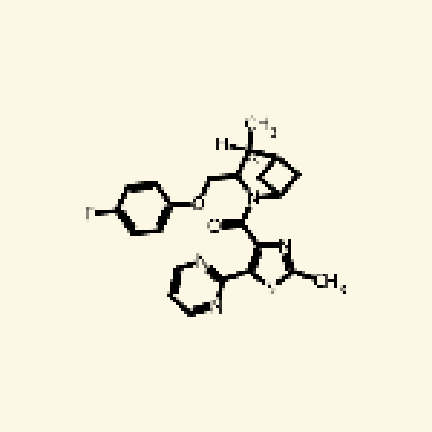 Cc1nc(C(=O)N2C3CC(C3)[C@@H](C)C2COc2ccc(F)cc2)c(-c2ncccn2)s1